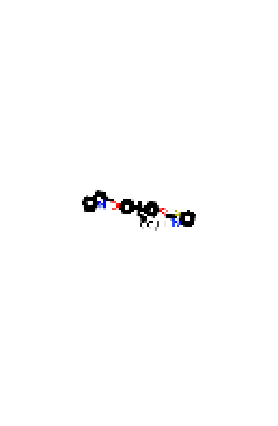 CC(CCC(=O)O)(c1ccc(OCc2ccc3ccccc3n2)cc1)c1ccc(OCc2nc3ccccc3s2)cc1